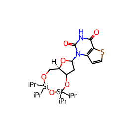 CC(C)[Si]1(C(C)C)OC[C@H]2O[C@@H](n3c(=O)[nH]c(=O)c4sccc43)CC2O[Si](C(C)C)(C(C)C)O1